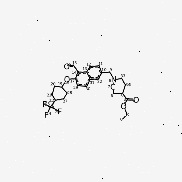 CCOC(=O)C1CCN(Cc2ccc3c(C=O)c(OC4CCC(C(F)(F)F)CC4)ccc3c2)CC1